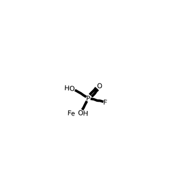 O=P(O)(O)F.[Fe]